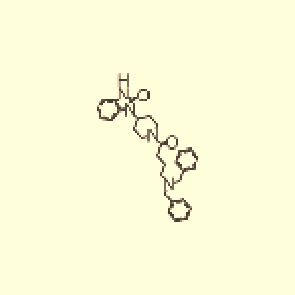 O=C(CCCN(Cc1ccccc1)Cc1ccccc1)N1CCC(n2c(=O)[nH]c3ccccc32)CC1